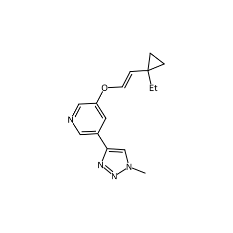 CCC1(C=COc2cncc(-c3cn(C)nn3)c2)CC1